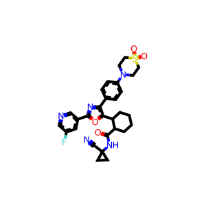 N#CC1(NC(=O)C2CCCCC2c2oc(-c3cncc(F)c3)nc2-c2ccc(N3CCS(=O)(=O)CC3)cc2)CC1